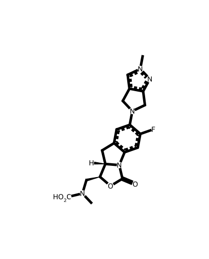 CN(C[C@@H]1OC(=O)N2c3cc(F)c(N4Cc5cn(C)nc5C4)cc3C[C@@H]12)C(=O)O